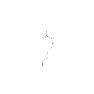 O=C(O)/C=N\OCCCl